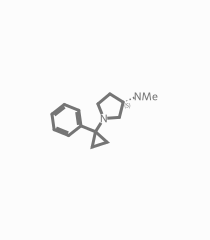 CN[C@H]1CCN(C2(c3ccccc3)CC2)C1